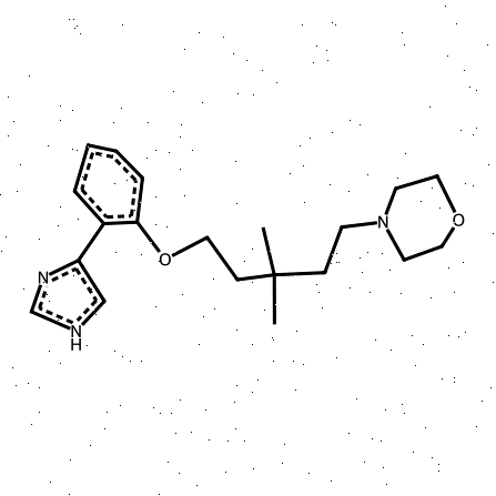 CC(C)(CCOc1ccccc1-c1c[nH]cn1)CCN1CCOCC1